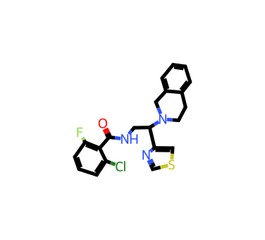 O=C(NCC(c1cscn1)N1CCc2ccccc2C1)c1c(F)cccc1Cl